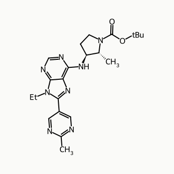 CCn1c(-c2cnc(C)nc2)nc2c(N[C@H]3CCN(C(=O)OC(C)(C)C)[C@@H]3C)ncnc21